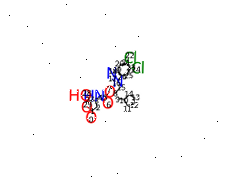 O=C1C[C@H](NC(=O)O[C@@H](CC2CCCC2)Cn2cnc3cc(Cl)c(Cl)cc32)C(O)O1